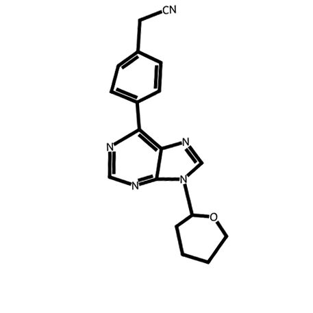 N#CCc1ccc(-c2ncnc3c2ncn3C2CCCCO2)cc1